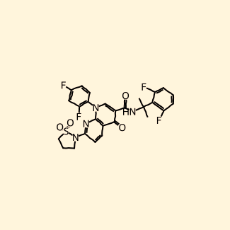 CC(C)(NC(=O)c1cn(-c2ccc(F)cc2F)c2nc(N3CCCS3(=O)=O)ccc2c1=O)c1c(F)cccc1F